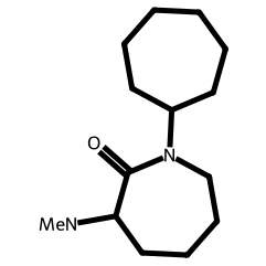 CNC1CCCCN(C2CCCCCC2)C1=O